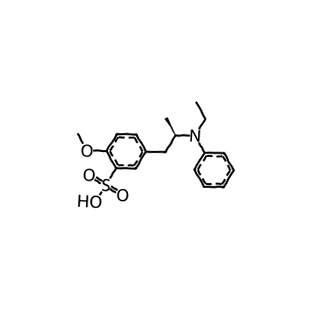 CCN(c1ccccc1)[C@H](C)Cc1ccc(OC)c(S(=O)(=O)O)c1